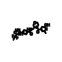 Cc1cc(C(=O)N2CCOCC2CNC(=O)c2ccc(C(=N)NC(=O)C(F)(F)F)cc2)cc(O)n1